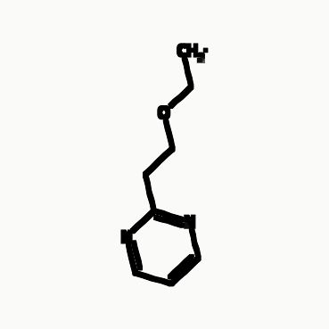 [CH2]COCCc1ncccn1